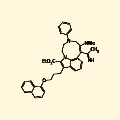 CCOC(=O)c1c(CCCOc2cccc3ccccc23)c2cccc3c2n1CCN(c1ccccc1)C/C(NC)=C\3C(C)=N